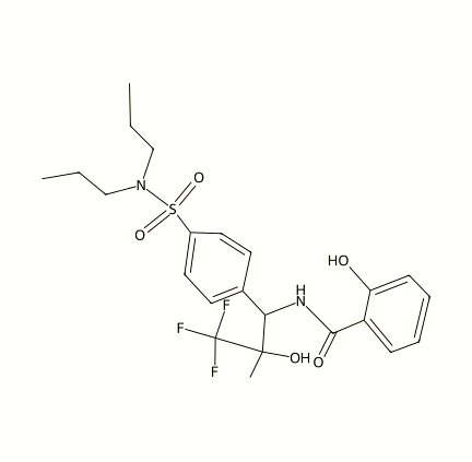 CCCN(CCC)S(=O)(=O)c1ccc(C(NC(=O)c2ccccc2O)C(C)(O)C(F)(F)F)cc1